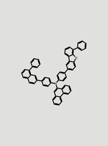 c1ccc(-c2cccc3ccc(-c4ccc(N(c5ccc(-c6ccc7oc8c(-c9ccccc9)cccc8c7c6)cc5)c5cc6ccccc6c6ccccc56)cc4)cc23)cc1